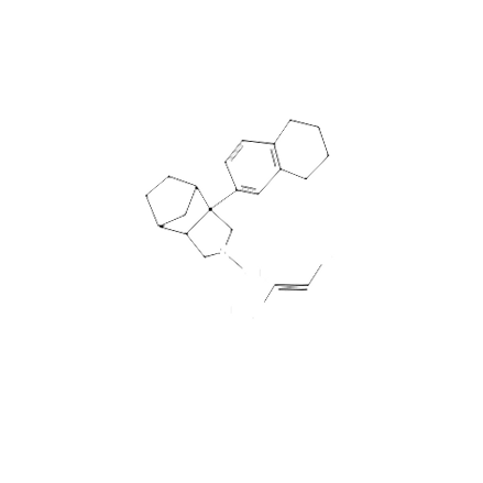 CN1CC2C3CCC(C3)C2(c2ccc3c(c2)CCCC3)C1.O=C(O)C=CC(=O)O